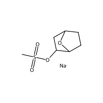 CS(=O)(=O)OC1CC2CCC1O2.[Na]